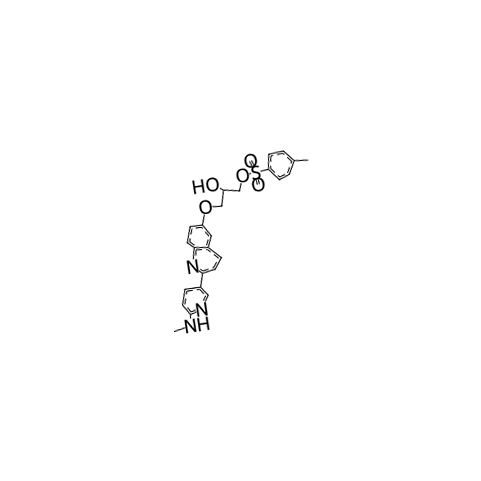 CNc1ccc(-c2ccc3cc(OCC(O)COS(=O)(=O)c4ccc(C)cc4)ccc3n2)cn1